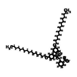 CCCCCCCCCCCCCCCCOc1ccc([Si](C)(OCc2ccccc2[N+](=O)[O-])c2ccc(OCCCCCCCCCCCCCCCC)cc2)cc1